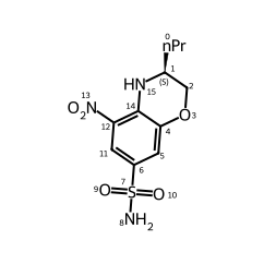 CCC[C@H]1COc2cc(S(N)(=O)=O)cc([N+](=O)[O-])c2N1